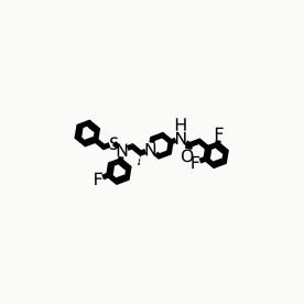 C[C@H](CN(SCc1ccccc1)c1cccc(F)c1)N1CCC(NC(=O)Cc2c(F)cccc2F)CC1